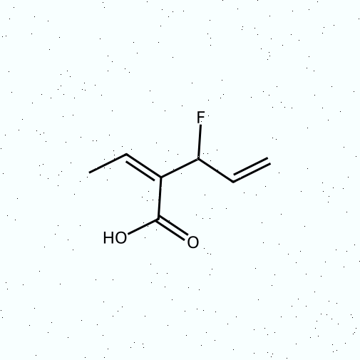 C=CC(F)C(=CC)C(=O)O